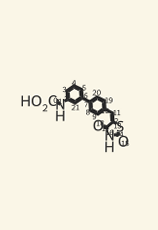 O=C(O)Nc1cccc(-c2ccc(C=C3SC(=O)NC3=O)cc2)c1